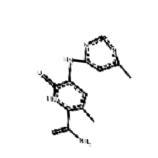 C=C(N)c1[nH]c(=O)c(Nc2cc(C)ncn2)cc1C